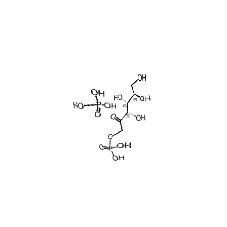 O=C(COP(=O)(O)O)[C@@H](O)[C@H](O)[C@H](O)CO.O=P(O)(O)O